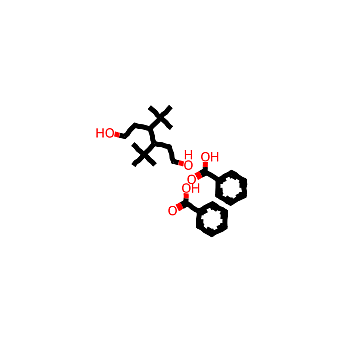 CC(C)(C)C(CCO)C(CCO)C(C)(C)C.O=C(O)c1ccccc1.O=C(O)c1ccccc1